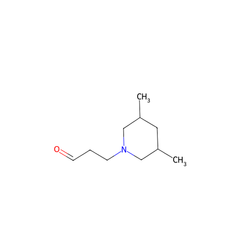 CC1CC(C)CN(CCC=O)C1